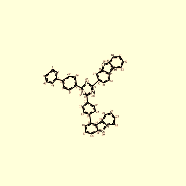 c1ccc(-c2ccc(-c3nc(-c4ccc(-c5cccc6sc7ccccc7c56)cc4)nc(-c4ccc5c(c4)oc4ccccc45)n3)cc2)cc1